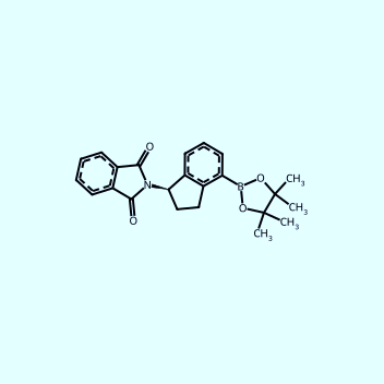 CC1(C)OB(c2cccc3c2CC[C@H]3N2C(=O)c3ccccc3C2=O)OC1(C)C